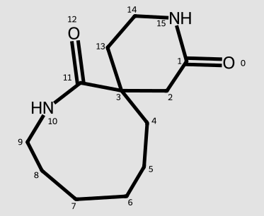 O=C1CC2(CCCCCCNC2=O)CCN1